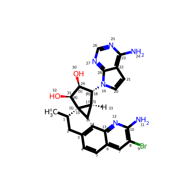 CC(Cc1ccc2cc(Br)c(N)nc2c1)[C@@]12C[C@@H]1[C@@H](n1ccc3c(N)ncnc31)[C@H](O)[C@@H]2O